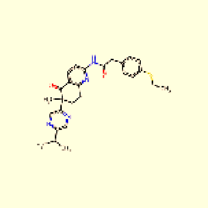 CCSc1ccc(CC(=O)Nc2ccc3c(n2)CCC(C)(c2cnc(C(C)C)cn2)C3=O)cc1